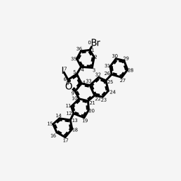 Brc1ccc(-c2c(I)oc3c4cc(-c5ccccc5)ccc4c4ccc(-c5ccccc5)cc4c23)cc1